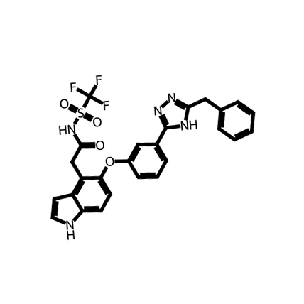 O=C(Cc1c(Oc2cccc(-c3nnc(Cc4ccccc4)[nH]3)c2)ccc2[nH]ccc12)NS(=O)(=O)C(F)(F)F